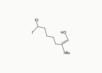 CCCCC(=CO)CCCCC(I)CC